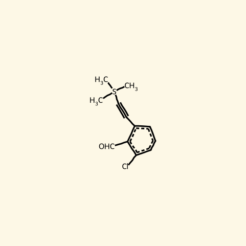 CS(C)(C)C#Cc1cccc(Cl)c1C=O